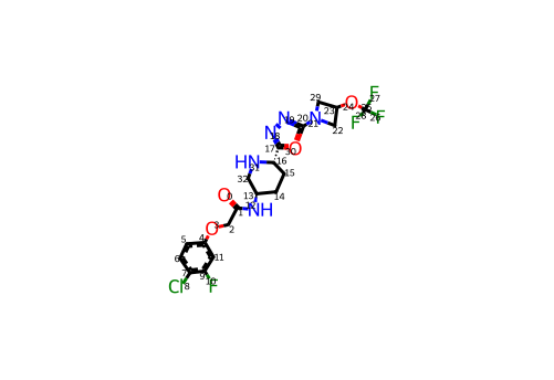 O=C(COc1ccc(Cl)c(F)c1)N[C@@H]1CC[C@@H](c2nnc(N3CC(OC(F)(F)F)C3)o2)NC1